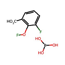 O=C(O)c1cccc(F)c1OF.OB(O)O